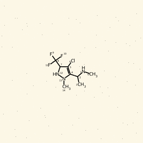 CNC(C)C1=C(Cl)C(C(F)(F)F)NN1C